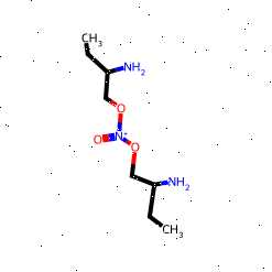 CCC(N)CO[N+](=O)OCC(N)CC